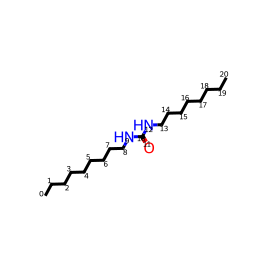 CCCCCCCCCNC(=O)NCCCCCCCC